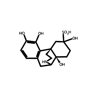 O=S(=O)(O)C1(O)CC[C@]2(O)C3Cc4ccc(O)c(O)c4[C@]2(CCN3)C1